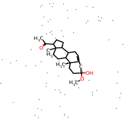 COC1(O)CCC2(C)C(=CCC3C2CCC2(C)C(C(C)=O)CCC32)C1